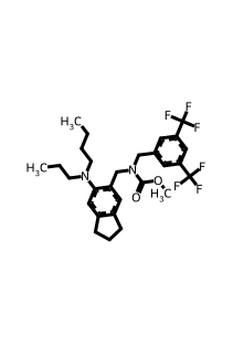 CCCCN(CCC)c1cc2c(cc1CN(Cc1cc(C(F)(F)F)cc(C(F)(F)F)c1)C(=O)OC)CCC2